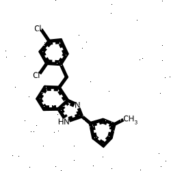 Cc1cccc(-c2nc3c(Cc4ccc(Cl)cc4Cl)cccc3[nH]2)c1